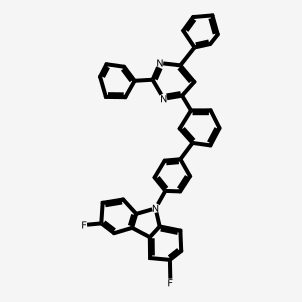 Fc1ccc2c(c1)c1cc(F)ccc1n2-c1ccc(-c2cccc(-c3cc(-c4ccccc4)nc(-c4ccccc4)n3)c2)cc1